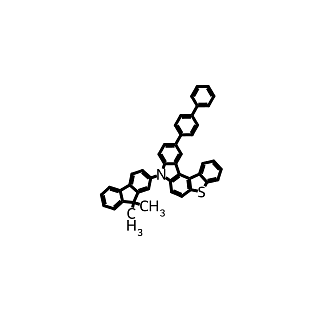 CC1(C)c2ccccc2-c2ccc(-n3c4ccc(-c5ccc(-c6ccccc6)cc5)cc4c4c5c(ccc43)sc3ccccc35)cc21